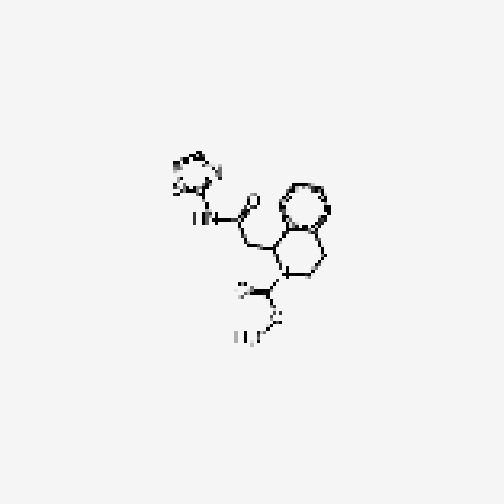 COC(=O)N1CCc2ccccc2C1CC(=O)Nc1nccs1